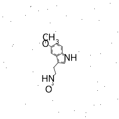 COc1ccc2[nH]cc(CCNC=O)c2c1